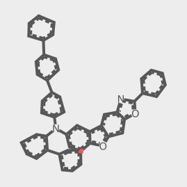 c1ccc(-c2ccc(-c3ccc(N(c4ccc5oc6cc7oc(-c8ccccc8)nc7cc6c5c4)c4ccccc4-c4ccccc4)cc3)cc2)cc1